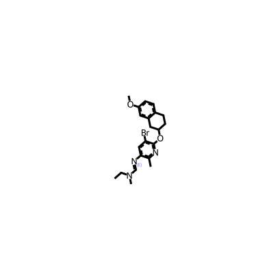 CCN(C)/C=N/c1cc(Br)c(OC2CCc3ccc(OC)cc3C2)nc1C